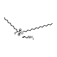 C=CCN.CCCCCCCCCCCCCCCOS(=O)(=O)C(F)CCCCCCCCC